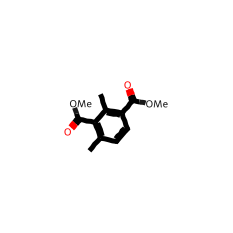 COC(=O)c1ccc(C)c(C(=O)OC)c1C